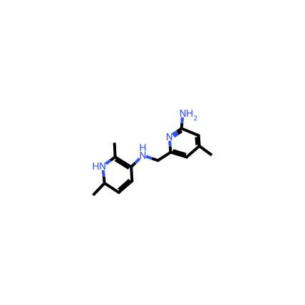 CC1=C(NCc2cc(C)cc(N)n2)C=CC(C)N1